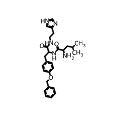 CC(C)CC(N)C(=O)NC(Cc1ccc(OCc2ccccc2)cc1)C(=O)NCCc1c[nH]cn1